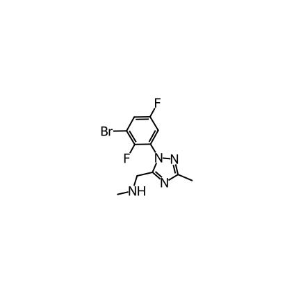 CNCc1nc(C)nn1-c1cc(F)cc(Br)c1F